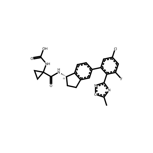 Cc1nc(-c2c(F)cc(Cl)cc2-c2ccc3c(c2)CC[C@@H]3NC(=O)C2(NC(=O)O)CC2)no1